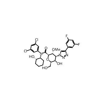 CO[C@@H]1[C@@H](n2cc(-c3cc(F)cc(F)c3)nn2)[C@@H](O)[C@@H](CO)O[C@H]1C(=O)N(c1cc(Cl)cc(Cl)c1)[C@H]1CCCC[C@@H]1O